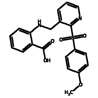 COc1ccc(S(=O)(=O)c2ncccc2CNc2ccccc2C(=O)O)cc1